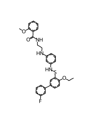 CCOc1ccc(-c2cccc(F)c2)cc1SNc1cccc(NCCNC(=O)c2ccccc2OC)c1